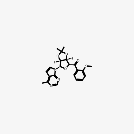 CSc1ccccc1C(=O)[C@H]1O[C@@H](n2ccc3c(C)ncnc32)[C@@H]2OC(C)(C)O[C@@H]21